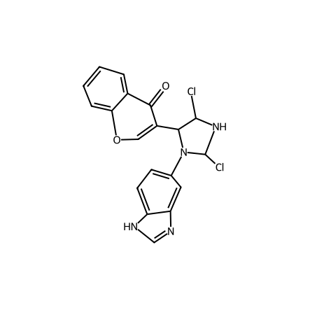 O=c1c(C2C(Cl)NC(Cl)N2c2ccc3[nH]cnc3c2)coc2ccccc12